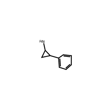 [NH]C1CC1c1ccccc1